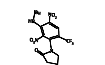 CCC(C)Nc1c([N+](=O)[O-])cc(C(F)(F)F)c(N2CCCC2=O)c1[N+](=O)[O-]